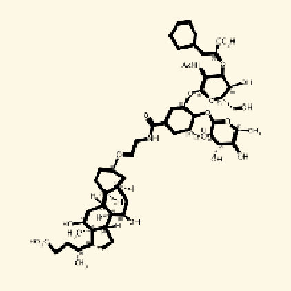 CC[C@@H]1CC(C(=O)NCCO[C@@H]2CC[C@@]3(C)[C@@H](C2)C[C@@H](O)[C@@H]2[C@@H]3C[C@H](O)[C@]3(C)[C@@H]([C@H](C)CCC(=O)O)CC[C@@H]23)C[C@@H](O[C@@H]2O[C@@H](CO)[C@H](O)C(O[C@@H](CC3CCCCC3)C(=O)O)C2NC(C)=O)C1OC1O[C@@H](C)C(O)[C@H](O)[C@@H]1O